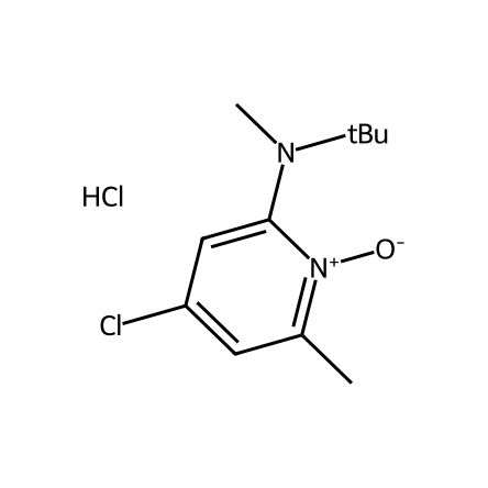 Cc1cc(Cl)cc(N(C)C(C)(C)C)[n+]1[O-].Cl